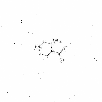 S=C(S)N1CCNCC1.[CaH2]